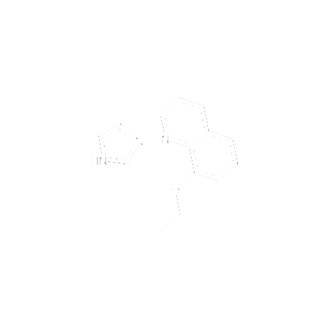 CCOc1cccc2cccnc12.c1c[nH]cn1